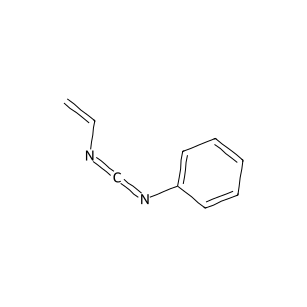 C=CN=C=Nc1ccccc1